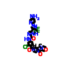 C[N+]1(C)CCOC[C@H]1C(=O)N1CCN(C(=O)c2ccc(NC(=O)c3ncc(-c4cn(-c5ccc(N)cn5)nc4C(F)(F)F)[nH]3)cc2Cl)CC1